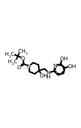 CC(C)(C)OC(=O)N1CCC(O)(CNc2ccc(O)c(O)n2)CC1